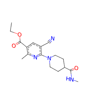 CCOC(=O)c1cc(C#N)c(N2CCC(C(=O)NC)CC2)nc1C